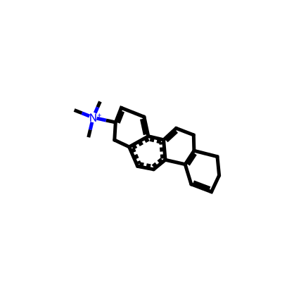 C[N+](C)(C)C1=CC=c2c(ccc3c2=CCC2=C3C=CCC2)C1